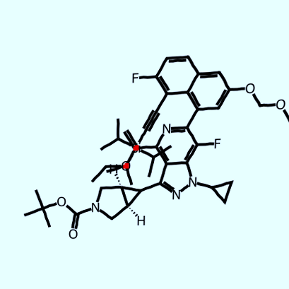 C=C(OCC)c1nc(-c2cc(OCOC)cc3ccc(F)c(C#C[Si](C(C)C)(C(C)C)C(C)C)c23)c(F)c2c1c(C1[C@H]3CN(C(=O)OC(C)(C)C)C[C@@H]13)nn2C1CC1